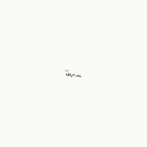 C.C=C.F